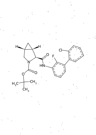 CC(C)(C)OC(=O)N1C[C@@H]2C[C@@H]2[C@H]1C(=O)Nc1cccc(-c2ccccc2Cl)c1F